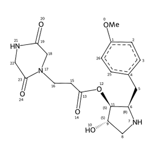 COc1ccc(C[C@H]2NC[C@H](O)[C@H]2OC(=O)CCN2CC(=O)NCC2=O)cc1